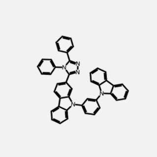 c1ccc(-c2nnc(-c3ccc4c5ccccc5n(-c5cccc(-n6c7ccccc7c7ccccc76)c5)c4c3)n2-c2ccccc2)cc1